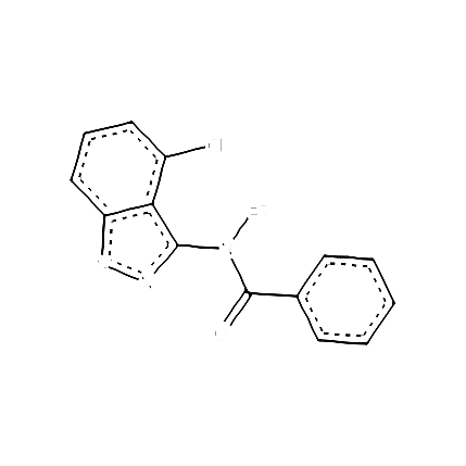 CCN(C(=O)c1ccccc1)c1nsc2cccc(Cl)c12